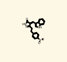 O=C1NN=C(CCc2ccc([N+](=O)[O-])cc2)C1=Cc1c[nH]c2ccccc12